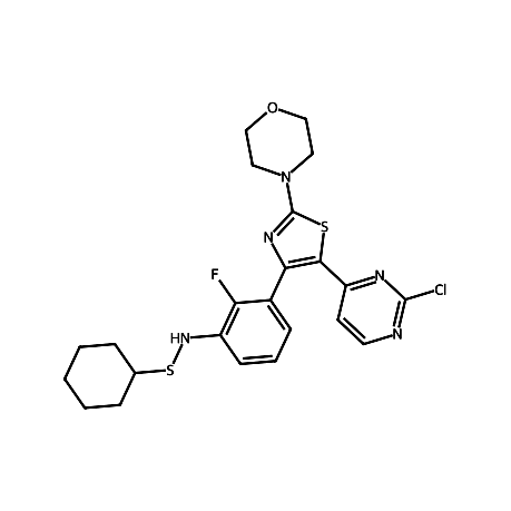 Fc1c(NSC2CCCCC2)cccc1-c1nc(N2CCOCC2)sc1-c1ccnc(Cl)n1